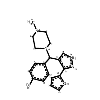 CN1CCN(C(c2ccc(Br)cc2)c2c[nH]nc2-c2ccco2)CC1